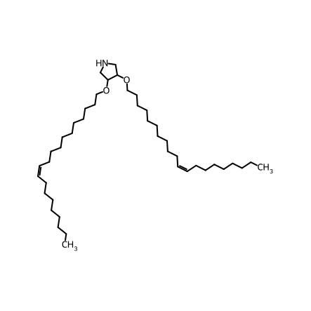 CCCCCCCC/C=C\CCCCCCCCCCOC1CNCC1OCCCCCCCCCC/C=C\CCCCCCCC